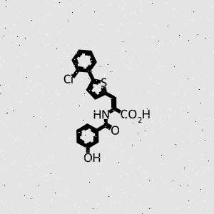 O=C(O)C(=Cc1ccc(-c2ccccc2Cl)s1)NC(=O)c1cccc(O)c1